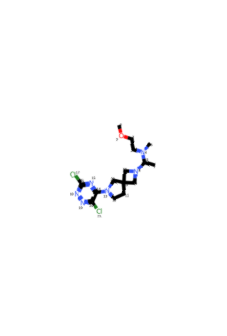 COCCN(C)C(C)N1CC2(CCN(c3nc(Cl)nnc3Cl)C2)C1